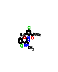 CNC(=O)c1cc(Cl)cc(C)c1NC(=O)c1cn(C)nc1-c1ccccc1Cl